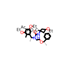 CCOc1cc([C@@H](C)N(CCO[C@@H](C)c2ccccc2)C(=O)NC2(C(=O)O)CC(OCC)C2)c(C)c(OCC)c1C(C)=O